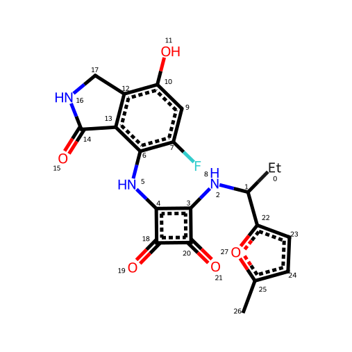 CCC(Nc1c(Nc2c(F)cc(O)c3c2C(=O)NC3)c(=O)c1=O)c1ccc(C)o1